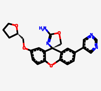 NC1=N[C@]2(CO1)c1cc(OC[C@@H]3CCCO3)ccc1Oc1ccc(-c3cncnc3)cc12